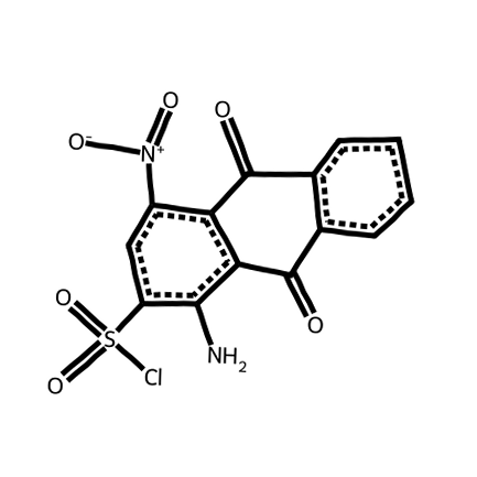 Nc1c(S(=O)(=O)Cl)cc([N+](=O)[O-])c2c1C(=O)c1ccccc1C2=O